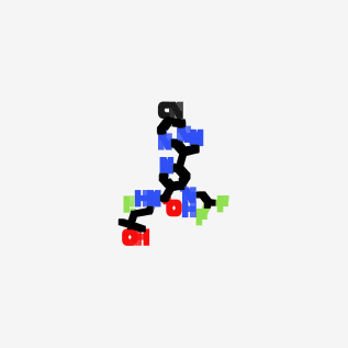 CC(C)(O)[C@H](F)CNC(=O)c1cnc(-c2cnn3cc(C#N)cnc23)cc1NCC(F)F